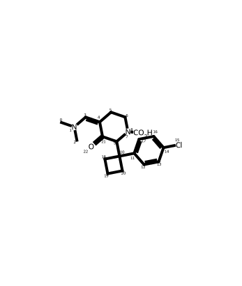 CN(C)/C=C1/CCN(C(=O)O)C(C2(c3ccc(Cl)cc3)CCC2)C1=O